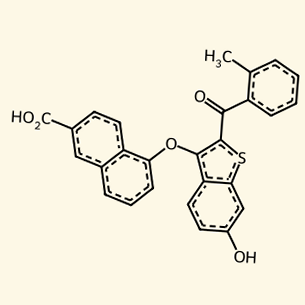 Cc1ccccc1C(=O)c1sc2cc(O)ccc2c1Oc1cccc2cc(C(=O)O)ccc12